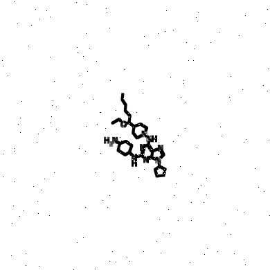 CCCCCC(OCC)C1CCN(Nc2nc(NC3CCC(N)CC3)nc3c2ncn3C2CCCC2)CC1